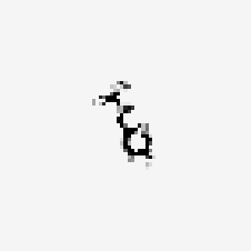 O=C(O)NCc1ncc(F)cn1